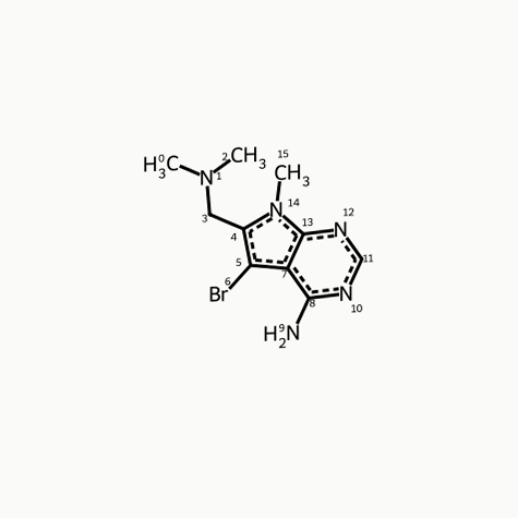 CN(C)Cc1c(Br)c2c(N)ncnc2n1C